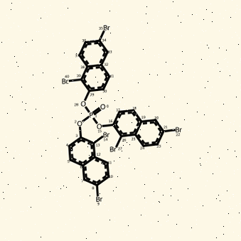 O=P(Oc1ccc2cc(Br)ccc2c1Br)(Oc1ccc2cc(Br)ccc2c1Br)Oc1ccc2cc(Br)ccc2c1Br